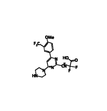 COc1ccc(-c2cc(N3CCNCC3)nc(C#N)n2)cc1C(F)(F)F.O=C(O)C(F)(F)F